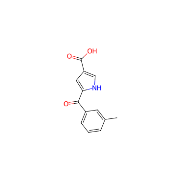 Cc1cccc(C(=O)c2cc(C(=O)O)c[nH]2)c1